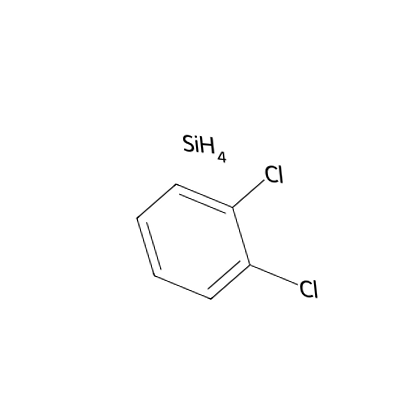 Clc1ccccc1Cl.[SiH4]